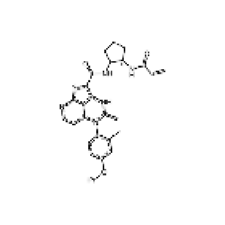 C=CC(=O)N[C@@H]1CCCC1NC(=O)c1sc2nccc3c2c1[nH]c(=C)n3-c1ccc(OC(C)C)cc1C